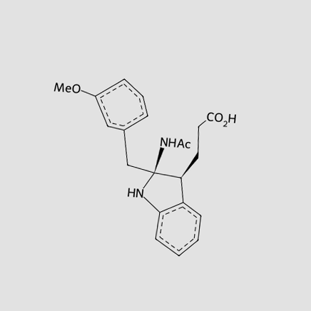 COc1cccc(C[C@@]2(NC(C)=O)Nc3ccccc3[C@@H]2CCC(=O)O)c1